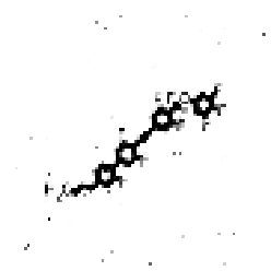 C=CCCc1ccc(C2=CC(F)C(C#Cc3cc(F)c(C(F)(F)Oc4cc(F)c(F)c(F)c4)c(F)c3)C(F)=C2)c(F)c1